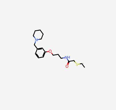 C[CH]SCC(=O)NCCCOc1cccc(CN2CCCCC2)c1